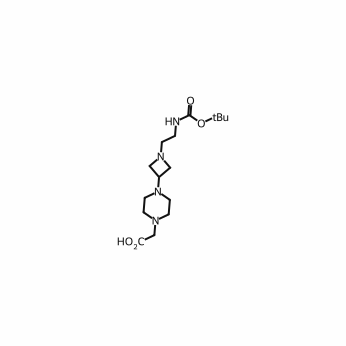 CC(C)(C)OC(=O)NCCN1CC(N2CCN(CC(=O)O)CC2)C1